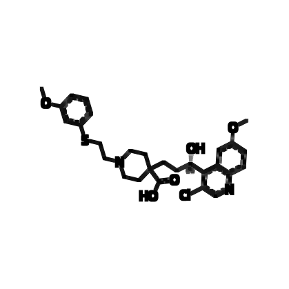 COc1cccc(SCCN2CCC(CC[C@H](O)c3c(Cl)cnc4ccc(OC)cc34)(C(=O)O)CC2)c1